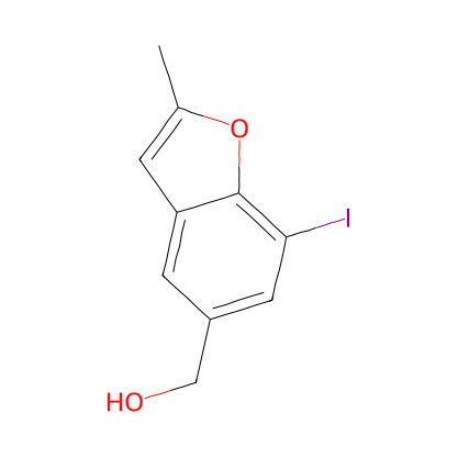 Cc1cc2cc(CO)cc(I)c2o1